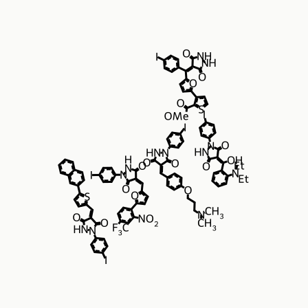 CCN(CC)c1ccccc1C(O)=C1C(=O)NN(c2ccc(I)cc2)C1=O.CN(C)CCCOc1ccc(C=C2C(=O)NN(c3ccc(I)cc3)C2=O)cc1.COC(=O)c1sccc1-c1ccc(C(=C2C(=O)NNC2=O)c2ccc(I)cc2)o1.O=C1NN(c2ccc(I)cc2)C(=O)C1=Cc1ccc(-c2ccc(C(F)(F)F)cc2[N+](=O)[O-])o1.O=C1NN(c2ccc(I)cc2)C(=O)C1=Cc1ccc(-c2ccc3ccccc3c2)s1